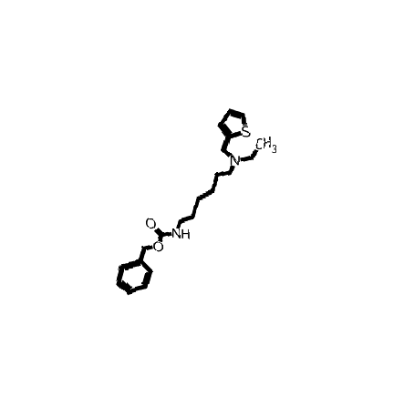 CCN(CCCCCCNC(=O)OCc1ccccc1)Cc1cccs1